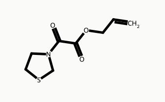 C=CCOC(=O)C(=O)N1CCSC1